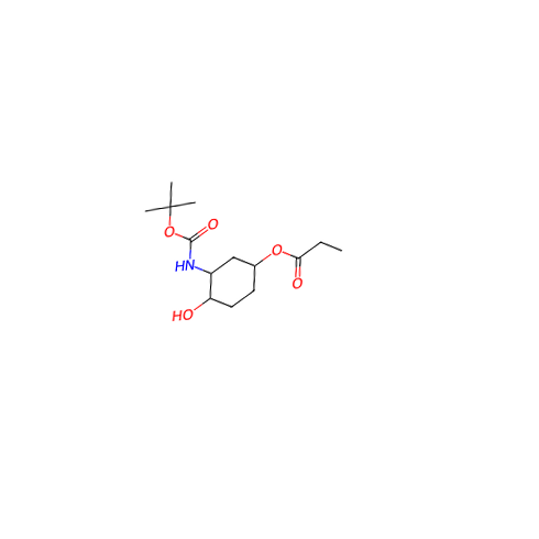 CCC(=O)OC1CCC(O)C(NC(=O)OC(C)(C)C)C1